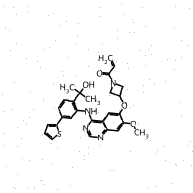 C=CC(=O)N1CC(Oc2cc3c(Nc4cc(-c5cccs5)ccc4C(C)(C)O)ncnc3cc2OC)C1